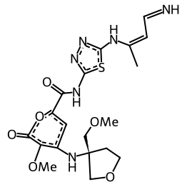 COC[C@@]1(Nc2cc(C(=O)Nc3nnc(N/C(C)=C\C=N)s3)oc(=O)c2OC)CCOC1